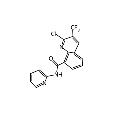 O=C(Nc1ccccn1)c1cccc2cc(C(F)(F)F)c(Cl)nc12